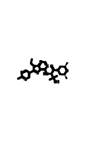 CCn1c(-c2cnc(C)nc2)nc2c(N[C@@H](C(=O)N3C[C@@H](C)O[C@@H](C)C3)C(C)(C)O)ncnc21